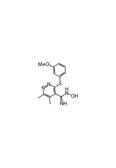 COc1cccc(Sc2nnc(C)c(C)c2C(=N)NO)c1